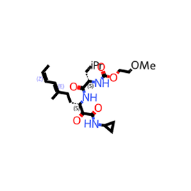 C/C=C\C=C(/C)CC[C@H](NC(=O)[C@H](CC(C)C)NC(=O)OCCOC)C(=O)C(=O)NC1CC1